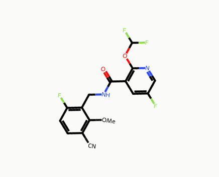 COc1c(C#N)ccc(F)c1CNC(=O)c1cc(F)cnc1OC(F)F